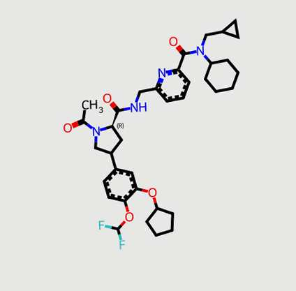 CC(=O)N1CC(c2ccc(OC(F)F)c(OC3CCCC3)c2)C[C@@H]1C(=O)NCc1cccc(C(=O)N(CC2CC2)C2CCCCC2)n1